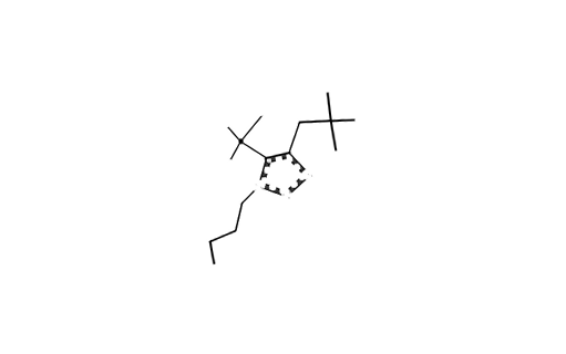 CCCCn1nnc(CC(C)(C)C)c1C(F)(F)F